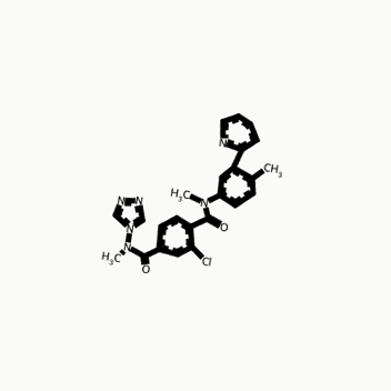 Cc1ccc(N(C)C(=O)c2ccc(C(=O)N(C)n3cnnc3)cc2Cl)cc1-c1ccccn1